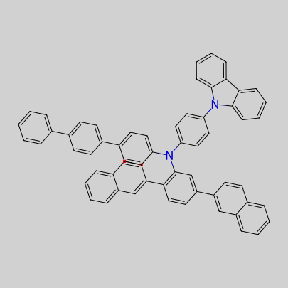 c1ccc(-c2ccc(-c3ccc(N(c4ccc(-n5c6ccccc6c6ccccc65)cc4)c4cc(-c5ccc6ccccc6c5)ccc4-c4ccc5ccccc5c4)cc3)cc2)cc1